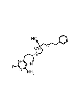 C#C[C@@]1(COCCc2ccccc2)CC[C@H](C2C=Nc3c(N)nc(F)nc3CC2)O1